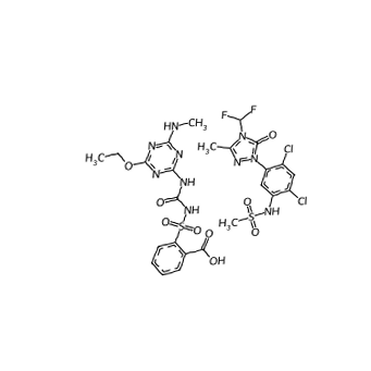 CCOc1nc(NC)nc(NC(=O)NS(=O)(=O)c2ccccc2C(=O)O)n1.Cc1nn(-c2cc(NS(C)(=O)=O)c(Cl)cc2Cl)c(=O)n1C(F)F